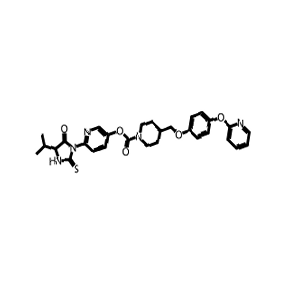 CC(C)C1NC(=S)N(c2ccc(OC(=O)N3CCC(COc4ccc(Oc5ccccn5)cc4)CC3)cn2)C1=O